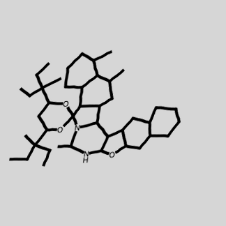 CCC(C)(CC)C1CC(C(C)(CC)CC)OC2(O1)C1C3CCCC(C)C3C(C)CC1C1C3C(NC(C)N12)OC1CC2CCCCC2CC13